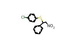 O=[N+]([O-])CC(Sc1ccc(Cl)cc1)c1ccccc1